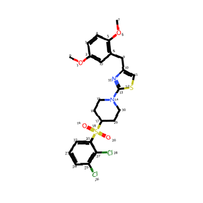 COc1ccc(OC)c(Cc2csc(N3CCC(S(=O)(=O)c4cccc(Cl)c4Cl)CC3)n2)c1